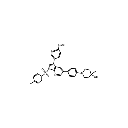 COc1ccc(-c2cn(S(=O)(=O)c3ccc(C)cc3)c3ncc(-c4ccc(N5CCC(C)(O)CC5)cc4)cc23)cn1